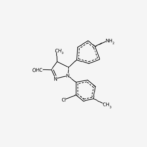 Cc1ccc(N2N=C(C=O)C(C)C2c2ccc(N)cc2)c(Cl)c1